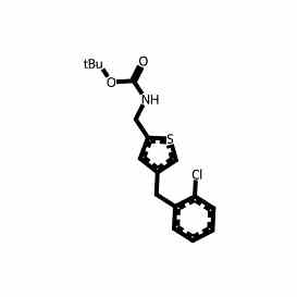 CC(C)(C)OC(=O)NCc1cc(Cc2ccccc2Cl)cs1